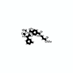 CCCC(NC(=O)C(NC(=O)OC(C)(C)C)c1cccc(F)c1)c1ccc(C(=O)NCCC(=O)OC)cc1